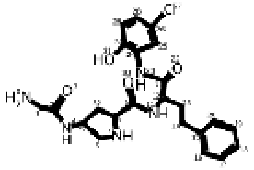 NCC(=O)NC1CNC(C(=O)NC(CCc2ccccc2)C(=O)Nc2cc(Cl)ccc2O)C1